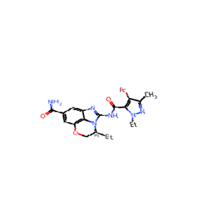 CC[C@H]1COc2cc(C(N)=O)cc3nc(NC(=O)c4c(Br)c(C)nn4CC)n1c23